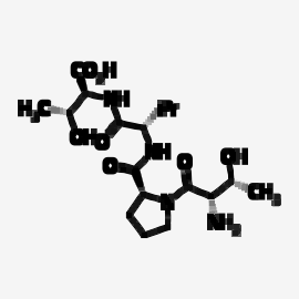 CC(C)[C@H](NC(=O)[C@@H]1CCCN1C(=O)[C@@H](N)[C@@H](C)O)C(=O)N[C@H](C(=O)O)[C@@H](C)O